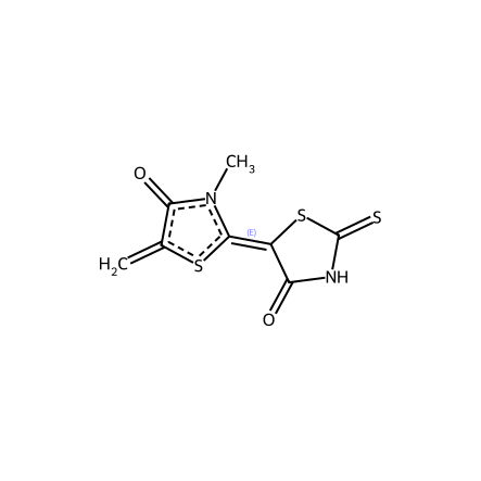 C=c1s/c(=C2/SC(=S)NC2=O)n(C)c1=O